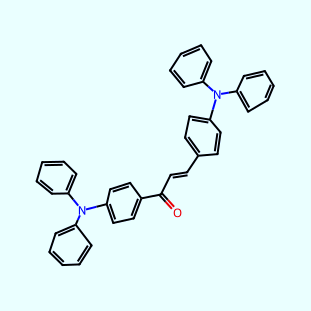 O=C(C=Cc1ccc(N(c2ccccc2)c2ccccc2)cc1)c1ccc(N(c2ccccc2)c2ccccc2)cc1